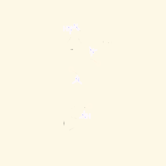 CC(C)(C)CN1Cc2c(cc(Cl)c3[nH]ncc23)C[C@@H](CC(=O)N2CCC(c3cc4ccc(Cl)cc4[nH]c3=O)CC2)C1=O